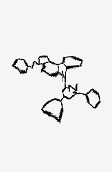 c1ccc(-c2cc(-c3ccccc3)nc(-n3c4ccccc4c4c5ccn(-c6ccccc6)c5ccc43)c2)cc1